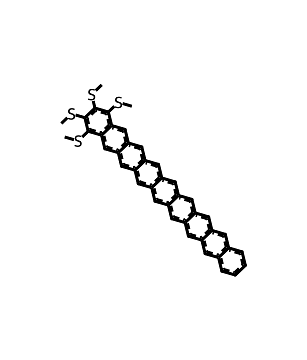 CSc1c(SC)c(SC)c2cc3cc4cc5cc6cc7cc8cc9ccccc9cc8cc7cc6cc5cc4cc3cc2c1SC